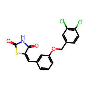 O=C1NC(=O)/C(=C\c2cccc(OCc3ccc(Cl)c(Cl)c3)c2)S1